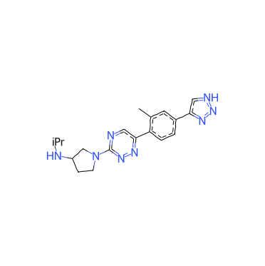 Cc1cc(-c2c[nH]nn2)ccc1-c1cnc(N2CCC(NC(C)C)C2)nn1